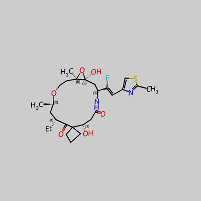 CC[C@@H]1C[C@@H](C)OCC[C@@]2(C)O[C@@]2(O)C[C@@H](C(F)=Cc2csc(C)n2)NC(=O)C[C@H](O)C2(CCC2)C1=O